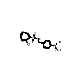 O=S(=O)(NCc1ccc(B(O)O)cc1)c1ccccc1Cl